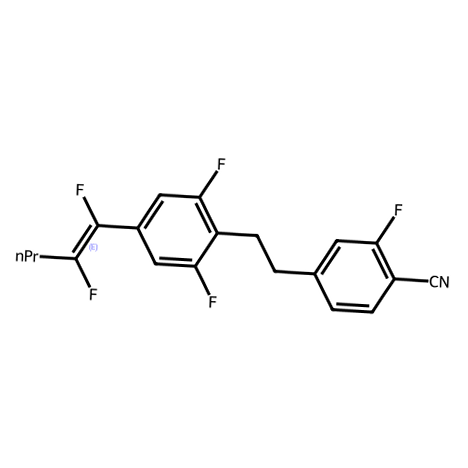 CCC/C(F)=C(\F)c1cc(F)c(CCc2ccc(C#N)c(F)c2)c(F)c1